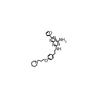 Nc1nc(NCCc2ccc(OCCCN3CCCCC3)cc2)nc2nc(-c3ccco3)nn12